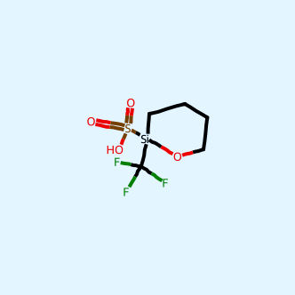 O=S(=O)(O)[Si]1(C(F)(F)F)CCCCO1